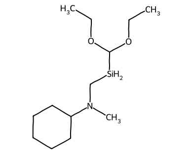 CCOC(OCC)[SiH2]CN(C)C1CCCCC1